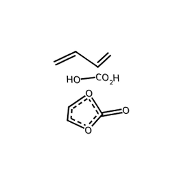 C=CC=C.O=C(O)O.O=c1occo1